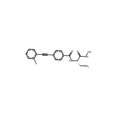 NC[C@H](NC(=O)c1ccc(C#Cc2ccccc2F)cc1)C(=O)NO